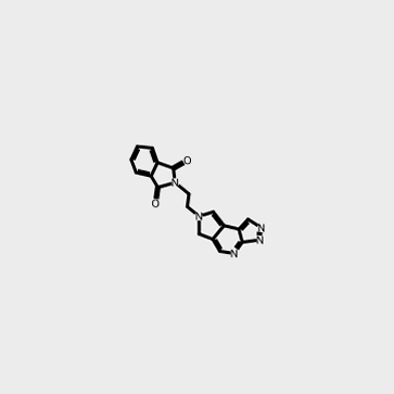 O=C1c2ccccc2C(=O)N1CCN1C=c2c(cnc3c2=CN=N3)C1